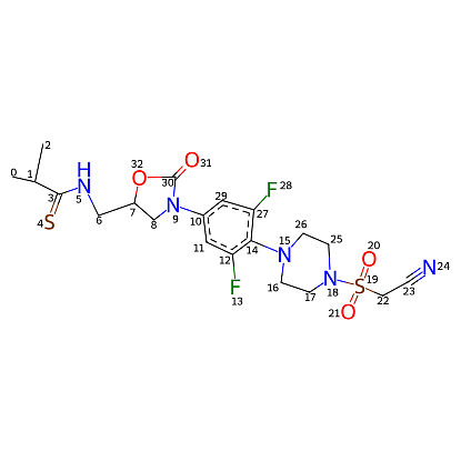 CC(C)C(=S)NCC1CN(c2cc(F)c(N3CCN(S(=O)(=O)CC#N)CC3)c(F)c2)C(=O)O1